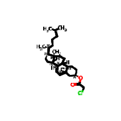 CC(C)CCC[C@@H](C)[C@H]1CC[C@H]2[C@@H]3CC=C4C[C@@H](OC(=O)CCl)CC[C@]4(C)[C@H]3CC[C@]12C